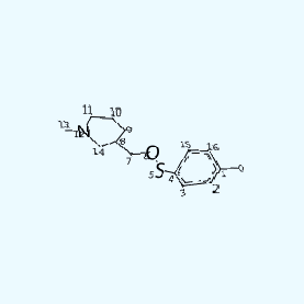 Cc1ccc(SOCC2CCCN(C)C2)cc1